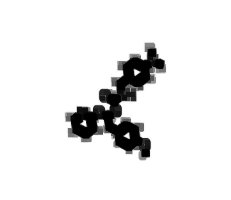 COc1ccc(CC(OC(=O)NCc2ccc(N(C)C)cc2)Oc2ccccn2)cc1